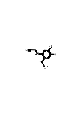 N#CCNc1cc(Br)c(F)cc1CN